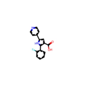 O=C(O)c1cc(-c2ccncc2)[nH]c1-c1ccccc1F